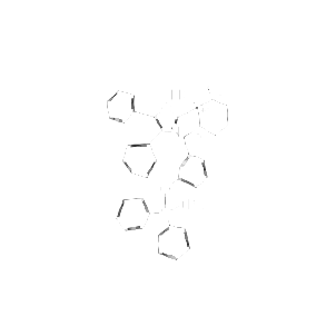 CC(C)(C)[Si](Oc1cccc(C[C@@H]2CCC[C@H](O)[C@@]2(O)c2nc(-c3ccccc3)c(-c3ccccc3)o2)c1)(c1ccccc1)c1ccccc1